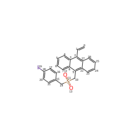 C=Cc1c2ccccc2c(CS(=O)(=O)Cc2ccc(I)cc2)c2ccccc12